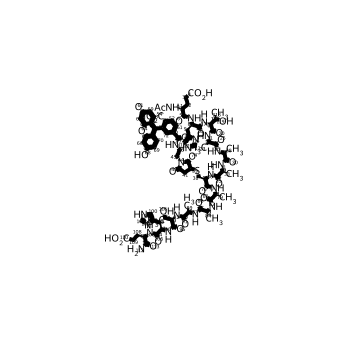 CC(=O)N[C@H](CCC(=O)O)C(=O)N[C@H](Cc1c[nH]cn1)C(=O)N[C@@H](C(=O)N[C@H](C)C(=O)N[C@H](C)C(=O)N[C@H](C)C(=O)N[C@H](CSC1CC(=O)N(CCNC(=O)c2ccc(C(=O)O)c(-c3c4ccc(=O)cc-4oc4cc(O)ccc34)c2)C1=O)C(=O)N[C@H](C)C(=O)N[C@H](C)C(=O)N[C@H](C)C(=O)N[C@@H](C(=O)N[C@H](Cc1c[nH]cn1)C(=O)N[C@H](CCC(=O)O)C(N)=O)[C@H](C)O)[C@H](C)O